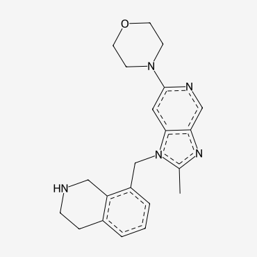 Cc1nc2cnc(N3CCOCC3)cc2n1Cc1cccc2c1CNCC2